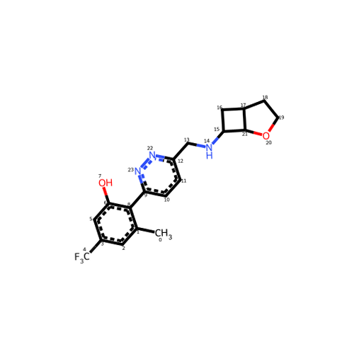 Cc1cc(C(F)(F)F)cc(O)c1-c1ccc(CNC2CC3CCOC32)nn1